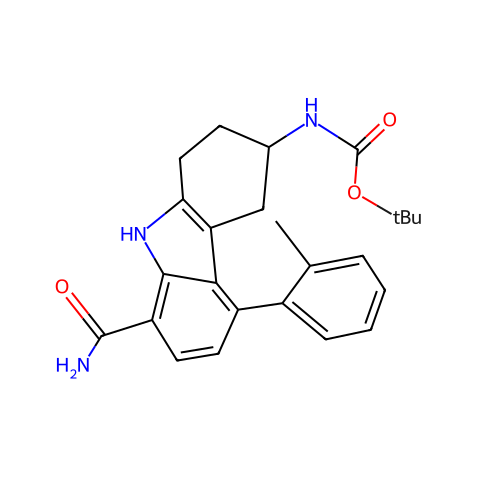 Cc1ccccc1-c1ccc(C(N)=O)c2[nH]c3c(c12)CC(NC(=O)OC(C)(C)C)CC3